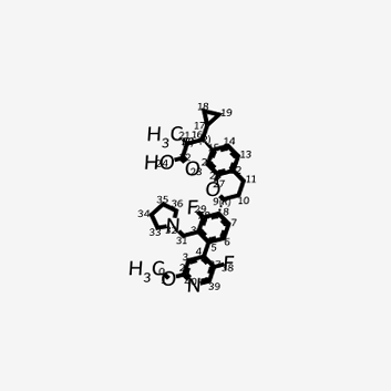 COc1cc(-c2ccc([C@H]3CCc4ccc([C@H](C5CC5)[C@H](C)C(=O)O)cc4O3)c(F)c2CN2CCCC2)c(F)cn1